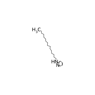 CCCCCCCCCCCCCCCCNc1ccccn1